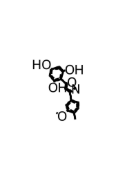 COc1cc(-c2cc(-c3c(O)cc(O)cc3O)on2)ccc1C